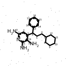 Nc1cc(C(CCC2CCCCC2)c2ccccc2)c(N)c(N)n1